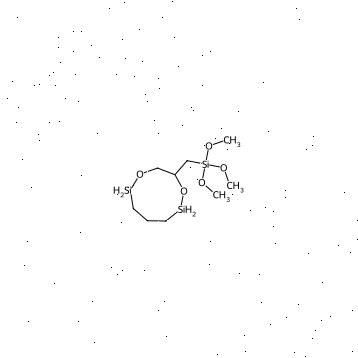 CO[Si](CC1CO[SiH2]CCC[SiH2]O1)(OC)OC